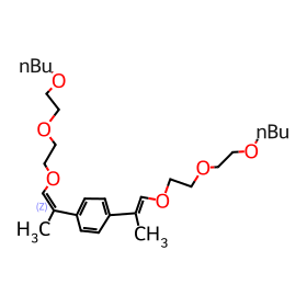 CCCCOCCOCCOC=C(C)c1ccc(/C(C)=C\OCCOCCOCCCC)cc1